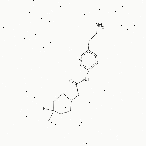 NCCc1ccc(NC(=O)CN2CCC(F)(F)CC2)cc1